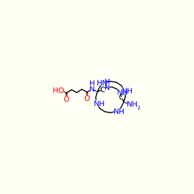 N[C@]12CNCCCNC[C@](NC(=O)CCCC(=O)O)(CNCCCNC1)CNCCNC2